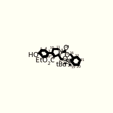 CCOC(=O)C1=C(c2ccc(O)cc2)CCN(C(=O)OCc2ccccc2)C1CO[Si](C)(C)C(C)(C)C